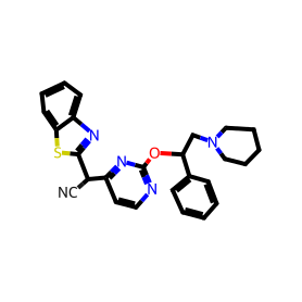 N#CC(c1ccnc(OC(CN2CCCCC2)c2ccccc2)n1)c1nc2ccccc2s1